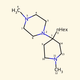 CCCCCCC1(N2CCN(C)CC2)CCN(C)CC1